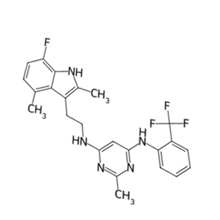 Cc1nc(NCCc2c(C)[nH]c3c(F)ccc(C)c23)cc(Nc2ccccc2C(F)(F)F)n1